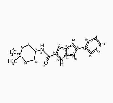 C[Si]1(C)CCC(NC(=O)c2cc3sc(-c4ccccc4)nc3[nH]2)CC1